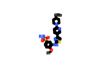 COC1CCN(c2ccc(-c3csc(Nc4cc(S(N)(=O)=O)ccc4OC(C)C)n3)cn2)CC1